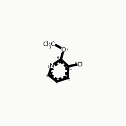 Clc1cccnc1OC(Cl)(Cl)Cl